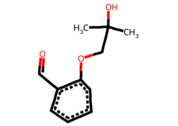 CC(C)(O)COc1ccccc1C=O